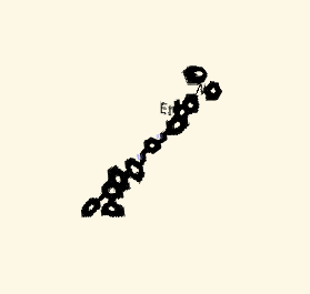 CCC1(C)c2cc(/C=C/c3ccc(/C=C/C4=CCC(c5ccc6cc(-c7ccccc7)c(-c7ccccc7)cc6c5)C=C4)cc3)ccc2-c2ccc(N(c3ccccc3)c3ccccc3)cc21